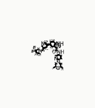 CC1CN(c2ccc(NC(=O)c3n[nH]c4ccc(-c5cncc(CN6CCC(F)(F)C6)c5)cc34)cn2)CC(C)O1